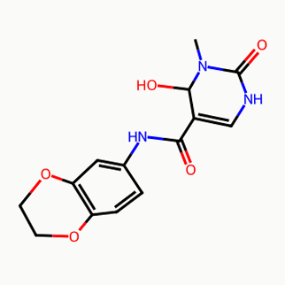 CN1C(=O)NC=C(C(=O)Nc2ccc3c(c2)OCCO3)C1O